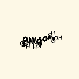 Cc1cc(Nc2ncnc(Nc3ccccc3S(=O)(=O)C(C)C)n2)c2c(c1C1CCN(C(=O)CNC(=O)O)CC1)C[C@@H](C)O2